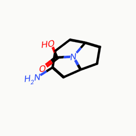 NC1CCC2CCC(C1)N2C(=O)O